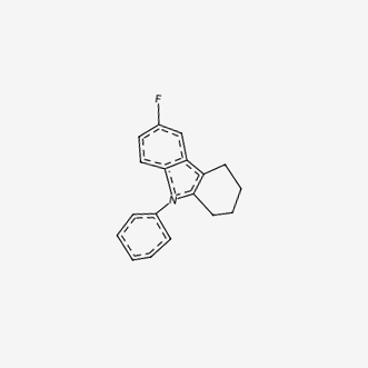 Fc1ccc2c(c1)c1c(n2-c2ccccc2)CCCC1